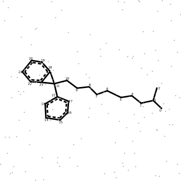 CC(C)CCCCCCCCC1(c2[c]cc[c]c2)c2ccccc21